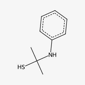 CC(C)(S)Nc1ccccc1